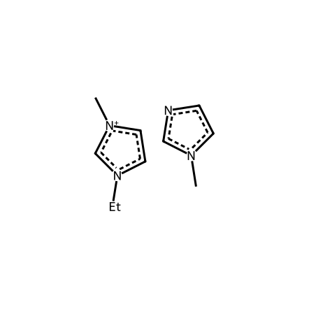 CCn1cc[n+](C)c1.Cn1ccnc1